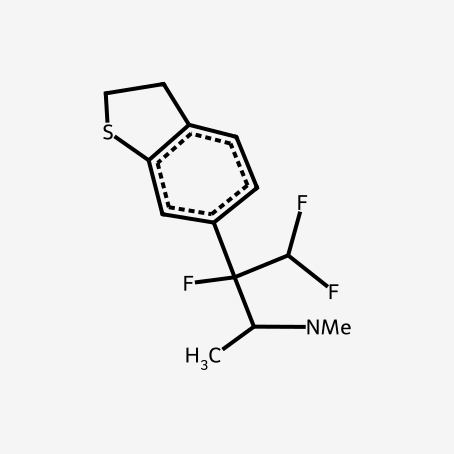 CNC(C)C(F)(c1ccc2c(c1)SCC2)C(F)F